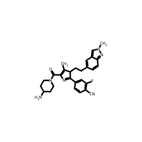 CC1=C(C(=O)N2CCC(N)CC2)N=C(c2ccc(C#N)c(F)c2)C1CCc1ccc2nn(C)cc2c1